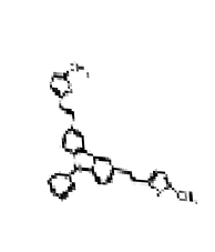 Cc1ccc(/C=C/c2ccc3c(c2)c2cc(/C=C/c4ccc(C)s4)ccc2n3-c2ccccc2)s1